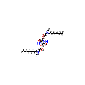 CCCCCCCCCCN(CC)CCC(=O)OC[C@@H]1NC(=O)[C@H](COC(=O)CCN(CC)CCCCCCCCCC)NC1=O